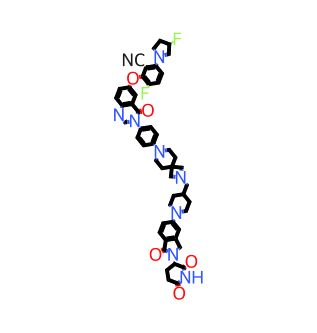 N#Cc1c(N2CC[C@@H](F)C2)ccc(F)c1Oc1ccc2ncn(-c3ccc(N4CCC5(CC4)CN(CC4CCN(c6ccc7c(c6)CN([C@H]6CCC(=O)NC6=O)C7=O)CC4)C5)cc3)c(=O)c2c1